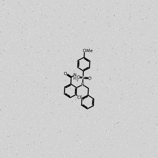 COc1ccc(S(=O)(=O)N(Cc2ccccc2)c2c(C(N)=O)cccc2C(F)(F)F)cc1